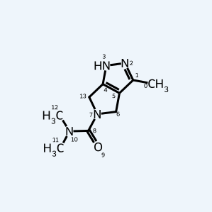 Cc1n[nH]c2c1CN(C(=O)N(C)C)C2